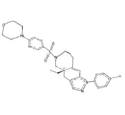 CC[C@]12Cc3cnn(-c4ccc(F)cc4)c3C=C1CCN(S(=O)(=O)c1ccc(N3CCOCC3)nc1)C2